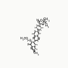 COCOc1c(-c2cnc3cc(N4CCN(C(=O)OC(C)(C)C)CC4)ccc3n2)cc2cn(C)nc2c1F